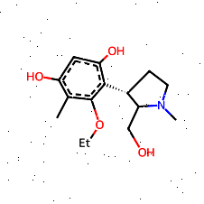 CCOc1c(C)c(O)cc(O)c1[C@@H]1CCN(C)C1CO